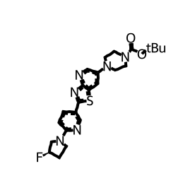 CC(C)(C)OC(=O)N1CCN(c2cnc3nc(-c4ccc(N5CC[C@@H](F)C5)nc4)sc3c2)CC1